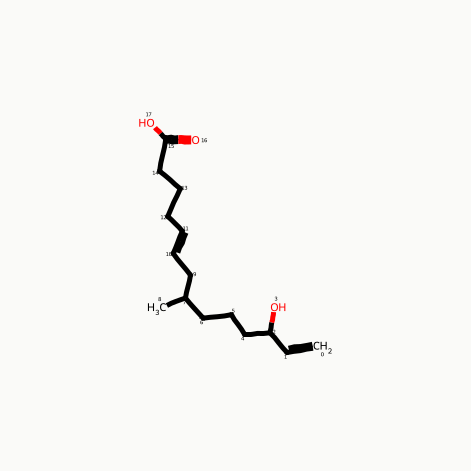 C=CC(O)CC[CH]C(C)CC=CCCCC(=O)O